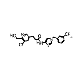 O=C(/C=C/c1cnc(CO)c(Cl)c1)Nc1cn(Cc2cccc(C(F)(F)F)c2)cn1